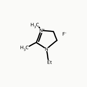 CCN1CC[N+](C)=C1C.[F-]